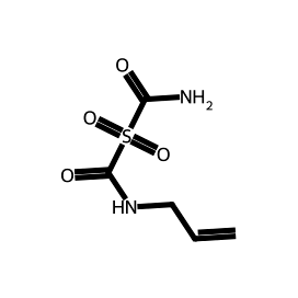 C=CCNC(=O)S(=O)(=O)C(N)=O